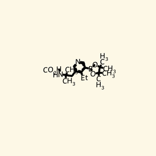 CCc1c(CC(C)(C)NC(=O)O)cncc1B1OC(C)(C)C(C)(C)O1